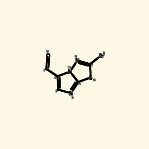 O=Cc1cnc2sc(Br)nn12